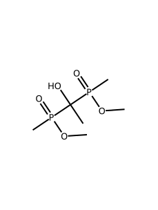 COP(C)(=O)C(C)(O)P(C)(=O)OC